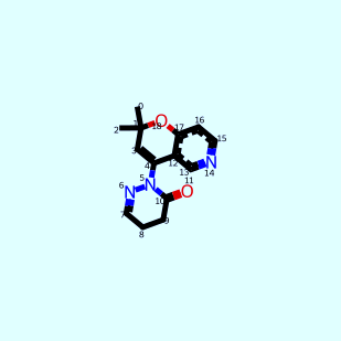 CC1(C)C=C(N2N=CCCC2=O)c2cnccc2O1